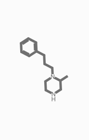 CC1CNCCN1CCCc1ccccc1